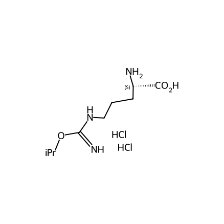 CC(C)OC(=N)NCCC[C@H](N)C(=O)O.Cl.Cl